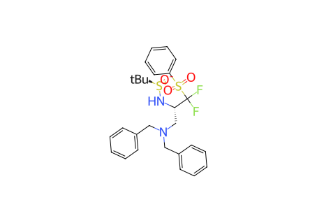 CC(C)(C)[S@@+]([O-])N[C@@H](CN(Cc1ccccc1)Cc1ccccc1)C(F)(F)S(=O)(=O)c1ccccc1